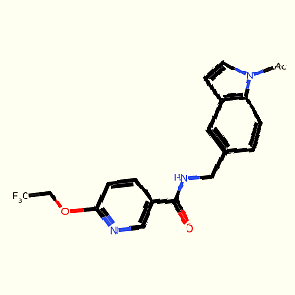 CC(=O)n1ccc2cc(CNC(=O)c3ccc(OCC(F)(F)F)nc3)ccc21